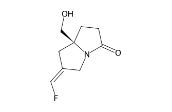 O=C1CC[C@@]2(CO)C/C(=C/F)CN12